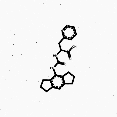 O=C(Nc1c2c(cc3c1CCC3)CCC2)NC(Cc1ccccn1)C(=O)O